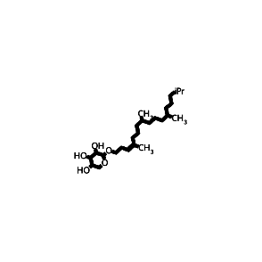 CC(=CCCOC1OCC(O)C(O)C1O)CCCC(C)CCCC(C)CCCC(C)C